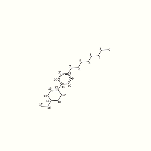 CCCCCCCCc1ccc(C2=CCC(CC)CC2)cc1